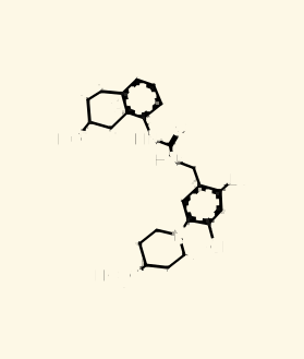 CCc1cc(C(F)(F)F)c(N2CCC(C(=O)O)CC2)cc1CNC(=O)Nc1cccc2c1CC(O)CC2